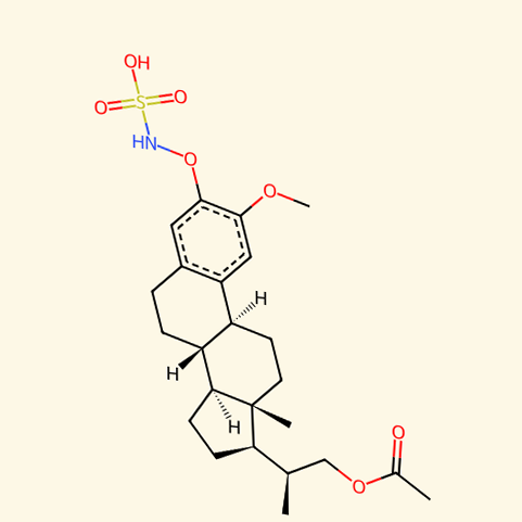 COc1cc2c(cc1ONS(=O)(=O)O)CC[C@@H]1[C@@H]2CC[C@]2(C)[C@@H]([C@H](C)COC(C)=O)CC[C@@H]12